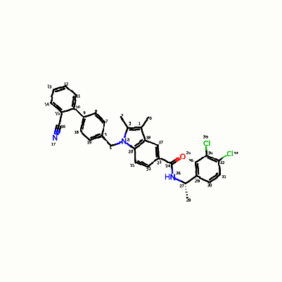 Cc1c(C)n(Cc2ccc(-c3ccccc3C#N)cc2)c2ccc(C(=O)N[C@@H](C)c3ccc(Cl)c(Cl)c3)cc12